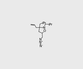 C=CCC1(CC(C)C)CC(CN=[N+]=[N-])ON1CC(C)C